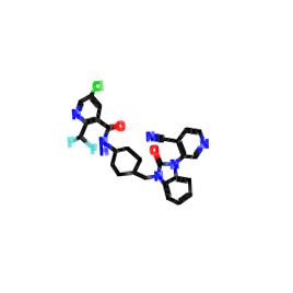 N#Cc1ccncc1-n1c(=O)n(CC2CCC(NC(=O)c3cc(Cl)cnc3C(F)F)CC2)c2ccccc21